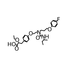 CCOC(Cc1ccc(OCCN(CCCOc2ccc(F)cc2)C(=O)NC(C)CC)cc1)C(=O)O